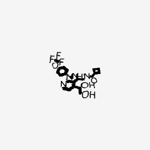 O=C(NCc1nn(-c2ccc(OC(F)(F)F)cc2)c2nccc([C@H](O)CO)c12)C1=CCC1